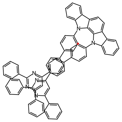 c1ccc(-c2cc(-c3ccc(-c4ccc(-n5c6ccccc6c6ccc7c8ccccc8n(-c8ccc(-c9ccc(-c%10cc(-c%11ccccc%11)nc(-c%11ccccc%11)n%10)cc9)cc8)c7c65)cc4)cc3)nc(-c3ccccc3)n2)cc1